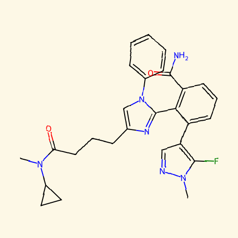 CN(C(=O)CCCc1cn(-c2ccccc2)c(-c2c(C(N)=O)cccc2-c2cnn(C)c2F)n1)C1CC1